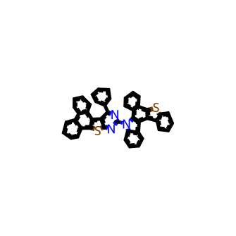 c1ccc(-c2nc(-n3c4ccccc4c4c5c6ccccc6sc5c5ccccc5c43)nc3sc4c5ccccc5c5ccccc5c4c23)cc1